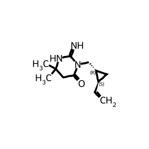 C=C[C@@H]1C[C@H]1CN1C(=N)NC(C)(C)CC1=O